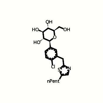 CCCCCc1cnc(Cc2cc([C@@H]3O[C@H](CO)[C@@H](O)[C@H](O)[C@H]3O)ccc2Cl)s1